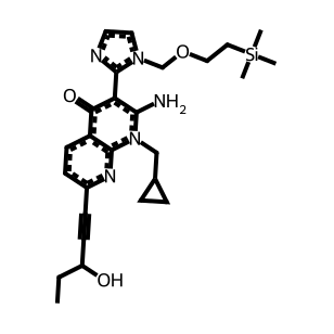 CCC(O)C#Cc1ccc2c(=O)c(-c3nccn3COCC[Si](C)(C)C)c(N)n(CC3CC3)c2n1